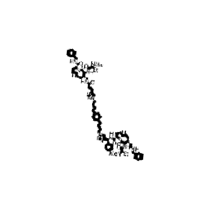 CC[C@H](NC)C(=O)N[C@@H]1C(=O)N2[C@@H](CC[C@@H]1CNC(=O)CCc1cn(CCCCC3CCC(CCCCn4cc([C@@H](NC(=O)[C@@H]5CC[C@@H]6CC[C@H](CCNCc7ccccc7)[C@H](NC(=O)[C@H](CC)NC)C(=O)N65)c5ccccc5)nn4)CC3)nn1)CC[C@H]2C(=O)NCc1ccccc1